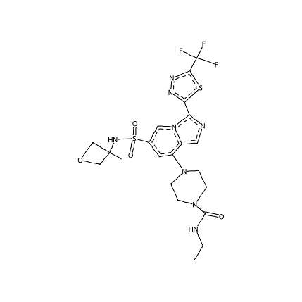 CCNC(=O)N1CCN(c2cc(S(=O)(=O)NC3(C)COC3)cn3c(-c4nnc(C(F)(F)F)s4)ncc23)CC1